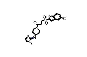 Cn1ccs/c1=N\C1CCN(C(=O)CCS(=O)(=O)c2cc3cc(Cl)ccc3[nH]2)CC1